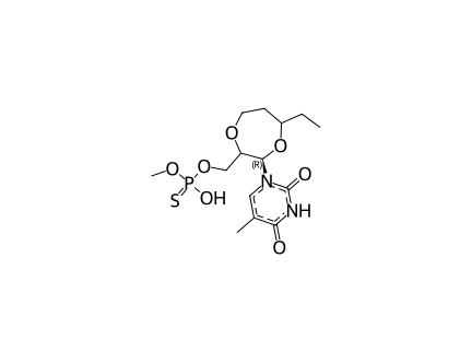 CCC1CCOC(COP(O)(=S)OC)[C@H](n2cc(C)c(=O)[nH]c2=O)O1